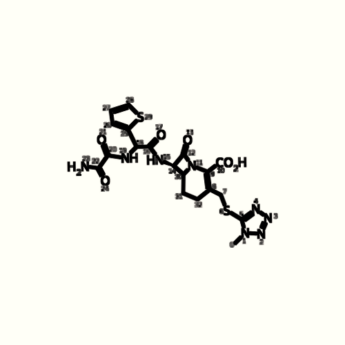 Cn1nnnc1SCC1=C(C(=O)O)N2C(=O)[C@H](NC(=O)C(NC(=O)C(N)=O)c3cccs3)C2CC1